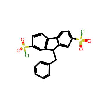 O=S(=O)(Cl)c1ccc2c(c1)C(Cc1ccccc1)c1cc(S(=O)(=O)Cl)ccc1-2